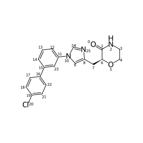 O=C1NCCO[C@H]1Cc1cn(-c2cccc(-c3ccc(Cl)cc3)c2)cn1